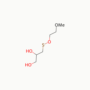 COCCOSCC(O)CO